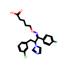 O=C(O)CCCCO/N=C(/c1ccc(F)cc1)C(Cc1cccc(Cl)c1)n1ccnc1